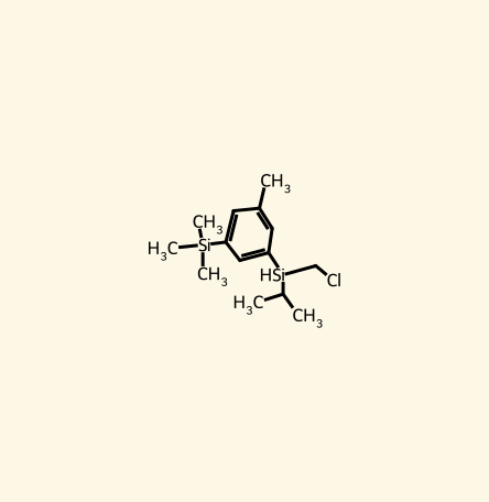 Cc1cc([SiH](CCl)C(C)C)cc([Si](C)(C)C)c1